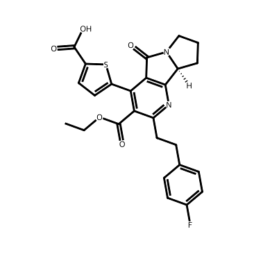 CCOC(=O)c1c(CCc2ccc(F)cc2)nc2c(c1-c1ccc(C(=O)O)s1)C(=O)N1CCC[C@@H]21